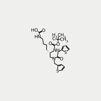 CC(C)(C)OC(=O)N[C@@H](CCCCNC(=O)O)CN(Cc1cccs1)C(=O)Cc1cccs1